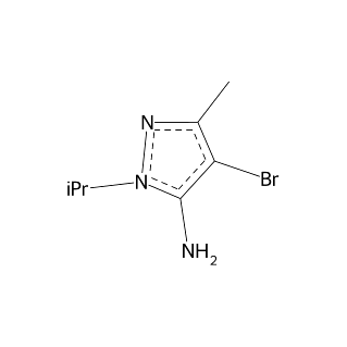 Cc1nn(C(C)C)c(N)c1Br